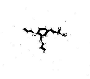 C=CCOc1ccc(/C=C/C(=O)N=O)cc1OCC=C